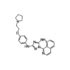 Nc1nc(Nc2ccc(OCCN3CCCC3)cc2)nn1-c1nccc2ccccc12